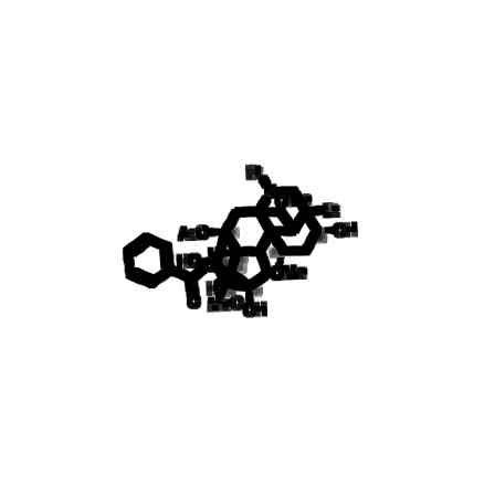 CCN1CC2(CC)C3C(OC)C4C1C3(C1C[C@@]3(O)[C@H](OC(=O)c5ccccc5)[C@@H]1[C@]4(OC(C)=O)[C@@H](O)[C@@H]3OC)[C@@H](OC)C[C@H]2O